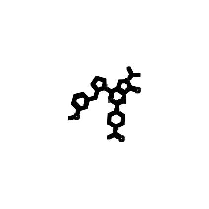 COc1cccc(CC2CCCN2c2nc(N3CCN(C(C)=O)CC3)nc3c2CN(C(C)C)C3=O)c1